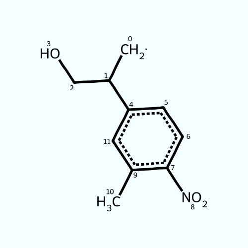 [CH2]C(CO)c1ccc([N+](=O)[O-])c(C)c1